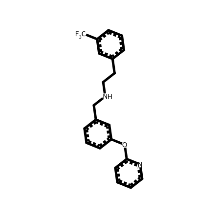 FC(F)(F)c1cccc(CCNCc2cccc(Oc3ccccn3)c2)c1